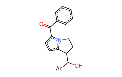 CC(=O)C(O)C1CCn2c(C(=O)c3ccccc3)ccc21